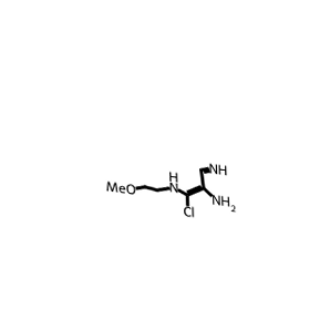 COCCN/C(Cl)=C(/N)C=N